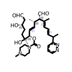 C/C(=C\C=C\C(C)c1cccnn1)[C@@H](C=O)[C@@H](C)/C=C/[C@H](OC(=O)N1CCN(C)CC1)[C@@](C)(O)CC[C@H](O)CC=O